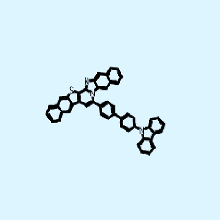 c1ccc2cc3c(cc2c1)nc1c2sc4cc5ccccc5cc4c2cc(-c2ccc(-c4ccc(-n5c6ccccc6c6ccccc65)cc4)cc2)n31